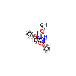 C#CCOCCNC(C)(NC(=O)OCc1ccccc1)NC(=O)OCc1ccccc1